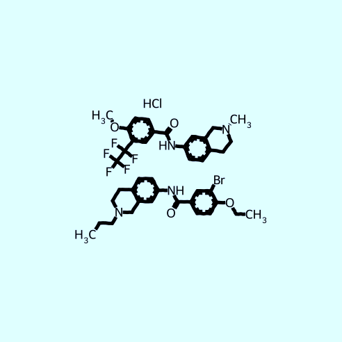 CCCN1CCc2ccc(NC(=O)c3ccc(OCC)c(Br)c3)cc2C1.COc1ccc(C(=O)Nc2ccc3c(c2)CN(C)CC3)cc1C(F)(F)C(F)(F)F.Cl